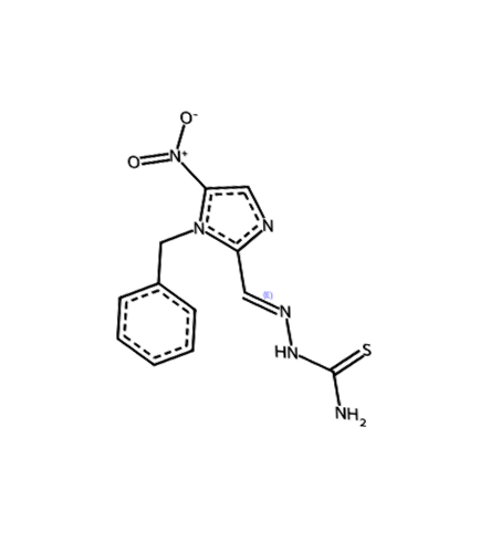 NC(=S)N/N=C/c1ncc([N+](=O)[O-])n1Cc1ccccc1